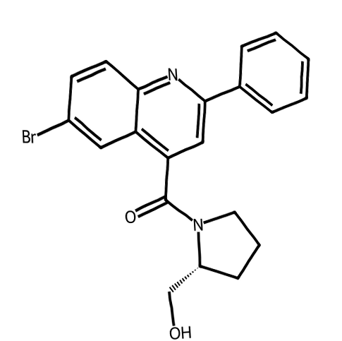 O=C(c1cc(-c2ccccc2)nc2ccc(Br)cc12)N1CCC[C@@H]1CO